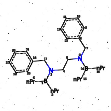 CCCB(CCC)N(CCN(Cc1ccccc1)B(CCC)CCC)Cc1ccccc1